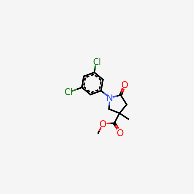 COC(=O)C1(C)CC(=O)N(c2cc(Cl)cc(Cl)c2)C1